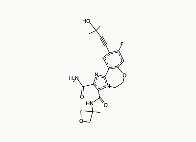 CC(C)(O)C#Cc1cc2c(cc1F)OCCn1c-2nc(C(N)=O)c1C(=O)NC1(C)COC1